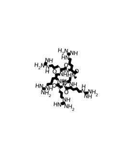 CNC(=O)C(CCCNC(=N)N)NC(=O)[C@@H](CCCNC(=N)N)NC(=O)C(CCCNC(=N)N)NC(=O)[C@@H](CCCNC(=N)N)NC(=O)C(CCCNC(=N)N)NC(C)=O